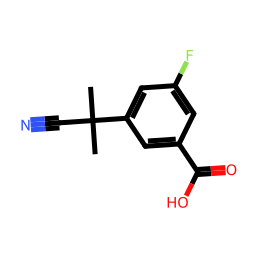 CC(C)(C#N)c1cc(F)cc(C(=O)O)c1